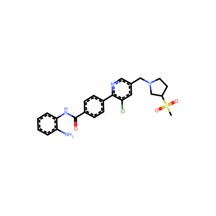 CS(=O)(=O)C1CCN(Cc2cnc(-c3ccc(C(=O)Nc4ccccc4N)cc3)c(Cl)c2)C1